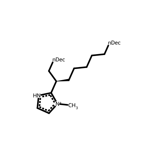 CCCCCCCCCCCCCCC[C@H](CCCCCCCCCCC)c1[nH]cc[n+]1C